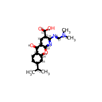 CC(C)c1ccc2c(=O)c3cc(C(=O)O)c(N=CN(C)C)nc3oc2c1